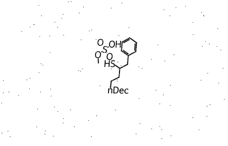 CCCCCCCCCCCCC(S)Cc1ccccc1.COS(=O)(=O)O